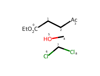 CCOC(=O)CCC(C)=O.CO.ClCCl